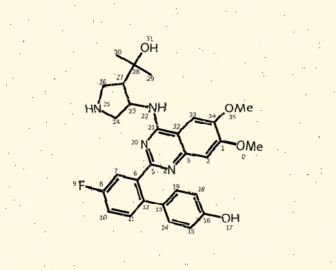 COc1cc2nc(-c3cc(F)ccc3-c3ccc(O)cc3)nc(NC3CNCC3C(C)(C)O)c2cc1OC